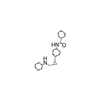 O=C(Nc1ccc(C2CC2CNc2ccccc2)cc1)c1ccccc1